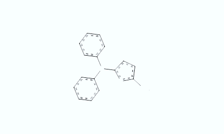 Cc1ccc(P(c2ccccc2)c2ccccc2)o1